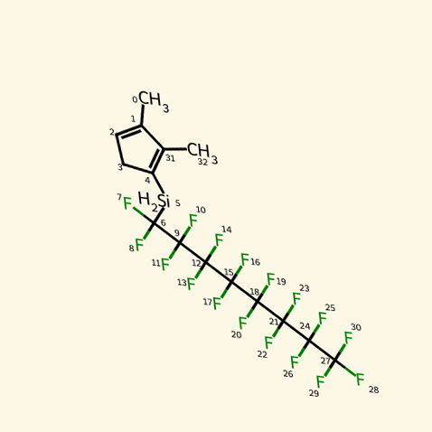 CC1=CCC([SiH2]C(F)(F)C(F)(F)C(F)(F)C(F)(F)C(F)(F)C(F)(F)C(F)(F)C(F)(F)F)=C1C